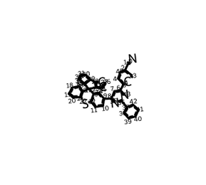 N#Cc1ccc(-c2cc(-c3ccc4c(c3)C3(c5ccccc5S4)c4ccccc4-c4ccccc43)nc(-c3ccccc3)n2)cc1